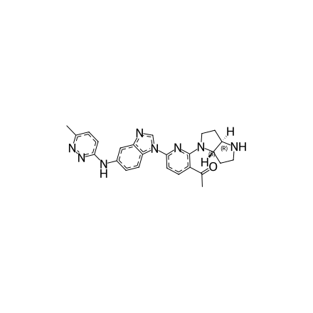 CC(=O)c1ccc(-n2cnc3cc(Nc4ccc(C)nn4)ccc32)nc1N1CC[C@H]2NCC[C@@H]21